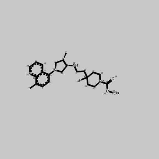 Cc1ccc(N2C[C@@H](C)[C@@H](NCCC3(F)CCN(C(=O)OC(C)(C)C)CC3)C2)c2cccnc12